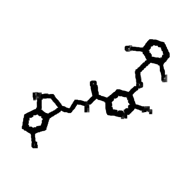 Nc1ncc(C(=O)NCCC2CNc3ccc(Cl)cc32)cc1OCc1c(Cl)cccc1Cl